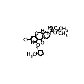 CN1CCC[C@H]1COc1nc(Cl)cc2c1C(=O)N1CCN(C(=O)OC(C)(C)C)C[C@@H]1CO2